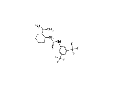 CN(C)C1CCCC[C@@H]1NC(=S)Nc1cc(C(F)(F)F)cc(C(F)(F)F)c1